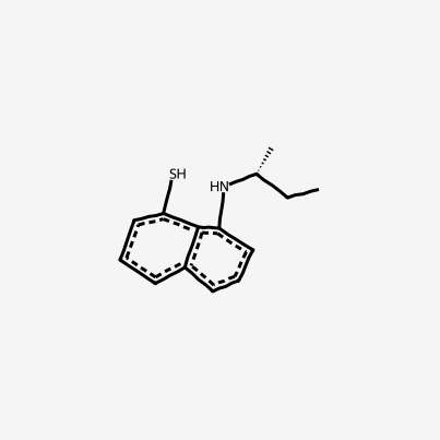 CC[C@@H](C)Nc1cccc2cccc(S)c12